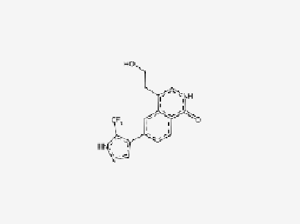 O=c1[nH]cc(CCO)c2cc(-c3cn[nH]c3C(F)(F)F)ccc12